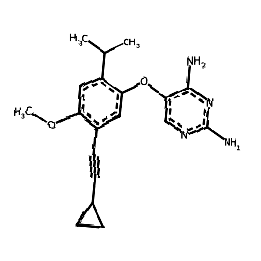 COc1cc(C(C)C)c(Oc2cnc(N)nc2N)cc1C#CC1CC1